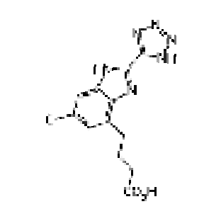 O=C(O)CCCc1cc(Cl)cc2[nH]c(-c3nnn[nH]3)nc12